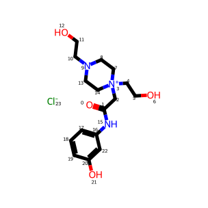 O=C(C[N+]1(CCO)CCN(CCO)CC1)Nc1cccc(O)c1.[Cl-]